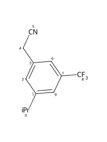 CC(C)c1cc(CC#N)cc(C(F)(F)F)c1